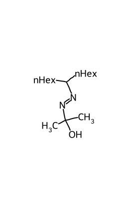 CCCCCCC(CCCCCC)N=NC(C)(C)O